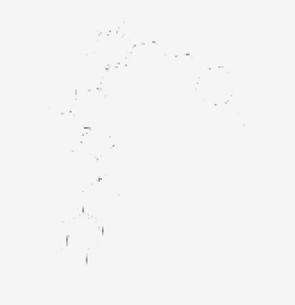 CC(NC(=O)c1cc(CCCN2CCN(C)CC2)ncn1)c1ncc(C(=O)Nc2cc(C(F)(F)F)c(Cl)cn2)s1